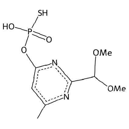 COC(OC)c1nc(C)cc(OP(=O)(O)S)n1